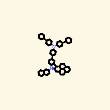 c1ccc(-c2ccc(N(c3ccc(-c4ccccc4)cc3)c3ccc(-c4ccc5c(c4)c4c6ccc7cccc8ccc(cc4n5-c4ccc5ccccc5c4)c6c87)cc3)cc2)cc1